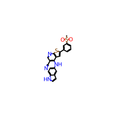 CS(=O)(=O)c1cccc(-c2cc3c(Nc4ccc5[nH]ccc5c4)c(C#N)cnc3s2)c1